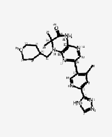 Cc1cc(-c2nnc[nH]2)ncc1-c1cnc2c(n1)N(CC1CCOCC1)C(C)(C)C(=O)N2